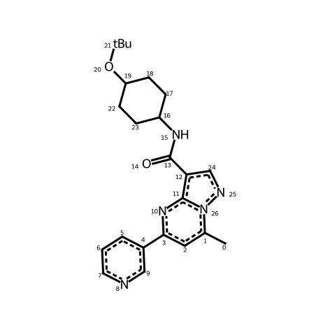 Cc1cc(-c2cccnc2)nc2c(C(=O)NC3CCC(OC(C)(C)C)CC3)cnn12